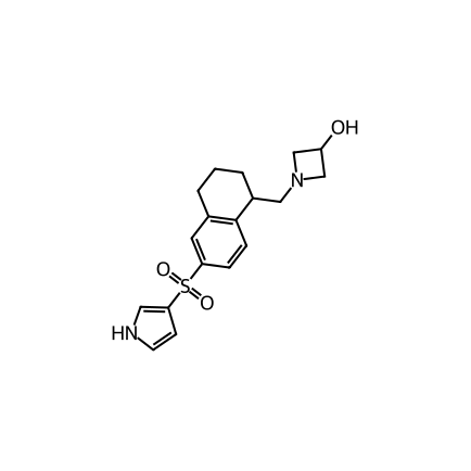 O=S(=O)(c1cc[nH]c1)c1ccc2c(c1)CCCC2CN1CC(O)C1